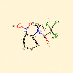 CN(C(=O)C(F)(F)F)c1ccccc1[N+](=O)[O-]